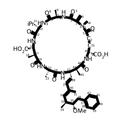 C=C1C(=O)N[C@H](C)C(=O)N[C@@H](C(C)C)C(=O)N[C@@H](C(=O)O)[C@H](C)C(=O)N[C@@H](C)C(=O)N[C@@H](/C=C/C(C)=C/[C@H](C)[C@H](Cc2ccccc2)OC)[C@H](C)C(=O)N[C@@H](C(=O)O)CCC(=O)N1C